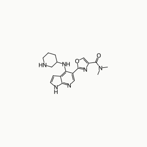 CN(C)C(=O)c1coc(-c2cnc3[nH]ccc3c2NC2CCCNC2)n1